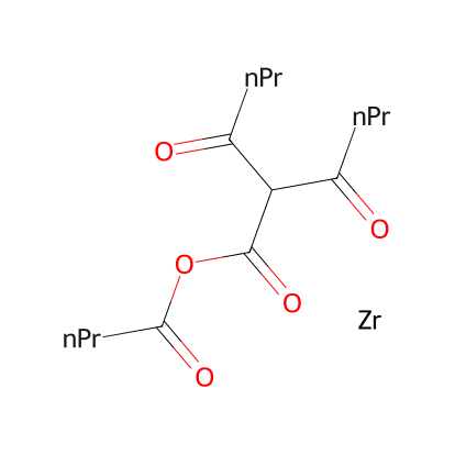 CCCC(=O)OC(=O)C(C(=O)CCC)C(=O)CCC.[Zr]